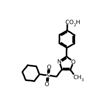 Cc1oc(-c2ccc(C(=O)O)cc2)nc1CS(=O)(=O)C1CCCCC1